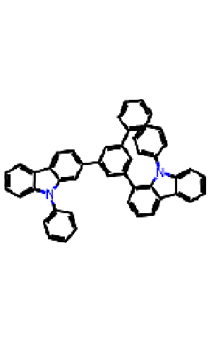 c1ccc(-c2cc(-c3ccc4c5ccccc5n(-c5ccccc5)c4c3)cc(-c3cccc4c5ccccc5n(-c5ccccc5)c34)c2)cc1